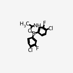 CC(N)OB(c1ccc(Cl)c(F)c1)c1ccc(Cl)c(F)c1